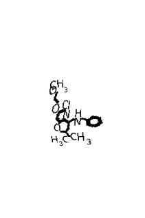 COCCCOc1cc2c(nc1Cl)C(CNCc1ccccc1)CC(C(C)C)CO2